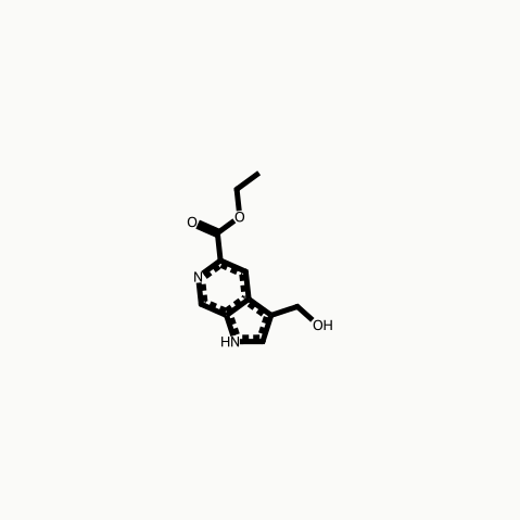 CCOC(=O)c1cc2c(CO)c[nH]c2cn1